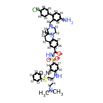 CN(C)CC[C@H](CSc1ccccc1)Nc1ccc(S(=O)(=O)NC(=O)c2ccc3c(c2)CC[C@@H]2CN(Cc4cc(N)ccc4-c4ccc(Cl)cc4)CCN32)cc1[N+](=O)[O-]